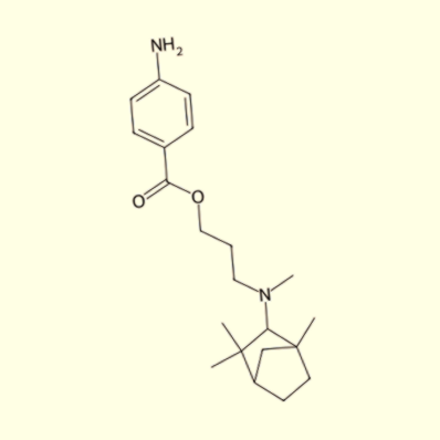 CN(CCCOC(=O)c1ccc(N)cc1)C1C2(C)CCC(C2)C1(C)C